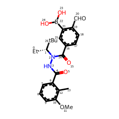 CC[C@@H](N(NC(=O)c1cccc(OC)c1C)C(=O)c1ccc(C=O)c(B(O)O)c1)C(C)(C)C